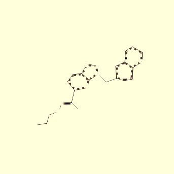 C/C(=N\OCCO)c1ccc2nnn(Cc3ccc4ncccc4c3)c2n1